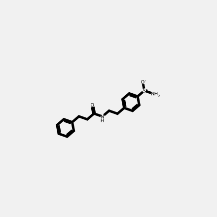 N[S+]([O-])c1ccc(CCNC(=O)CCc2ccccc2)cc1